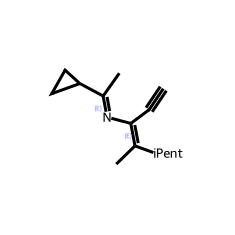 C#CC(/N=C(\C)C1CC1)=C(/C)C(C)CCC